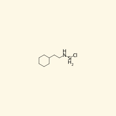 Cl[SiH2]NCCC1CCCCC1